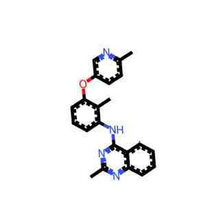 Cc1ccc(Oc2cccc(Nc3nc(C)nc4ccc[c]c34)c2C)cn1